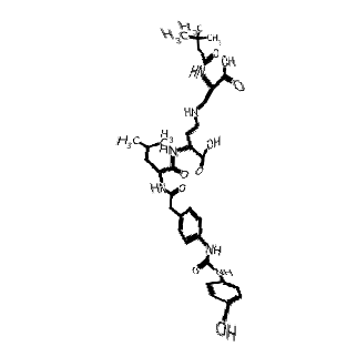 CC(C)CC(NC(=O)Cc1ccc(NC(=O)Nc2ccc(O)cc2)cc1)C(=O)NC(CCNCC(NC(=O)CC(C)(C)C)C(=O)O)C(=O)O